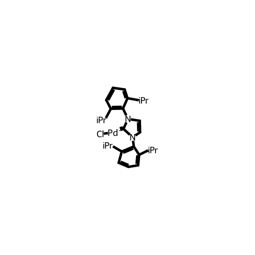 CC(C)c1cccc(C(C)C)c1-n1ccn(-c2c(C(C)C)cccc2C(C)C)[c]1=[Pd-][Cl]